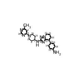 Cc1cc(N2CCC(Nc3nc4c(-c5ccc(N)cc5)cccn4n3)CC2)ncn1